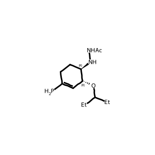 CCC(CC)O[C@@H]1C=C(P)CC[C@H]1NNC(C)=O